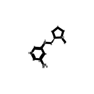 CN1CCC[C@H]1COc1cncc(C(F)(F)F)c1